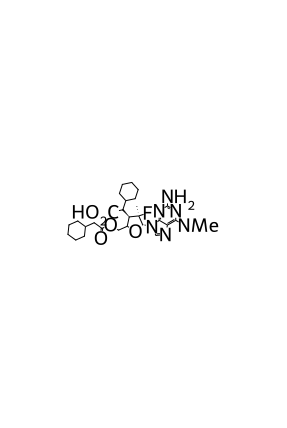 CNc1nc(N)nc2c1ncn2[C@@H]1OC(COC(=O)CC2CCCCC2)[C@@H](C(C(=O)O)C2CCCCC2)[C@@]1(C)F